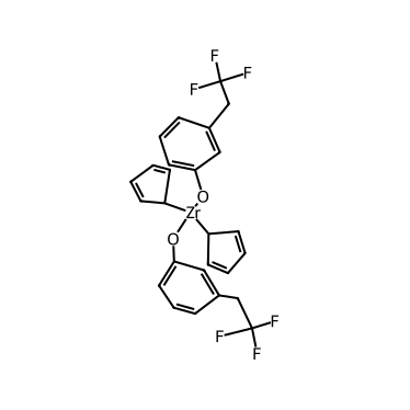 FC(F)(F)Cc1cccc([O][Zr]([O]c2cccc(CC(F)(F)F)c2)([CH]2C=CC=C2)[CH]2C=CC=C2)c1